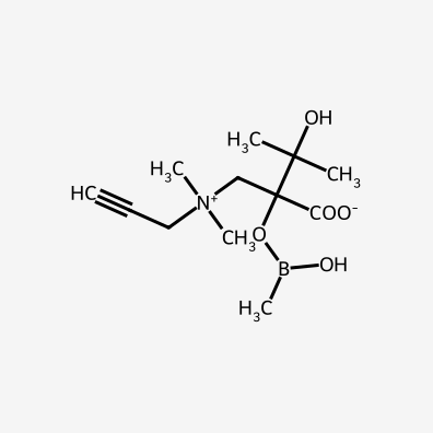 C#CC[N+](C)(C)CC(OB(C)O)(C(=O)[O-])C(C)(C)O